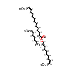 CCCCCCCC/C=C\CCCCCCCCCCCC(=O)OCCCCCCCC/C=C\CCCCCCCC.CCCCCCCCCCCCCCCC(=O)OCC